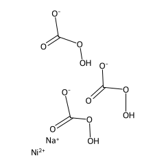 O=C([O-])OO.O=C([O-])OO.O=C([O-])OO.[Na+].[Ni+2]